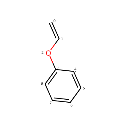 C=COc1[c]cccc1